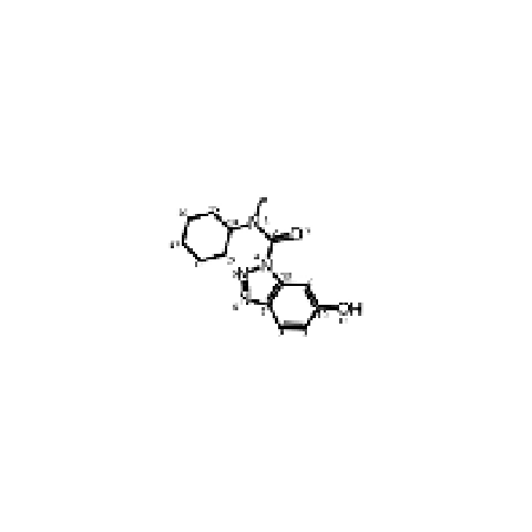 CN(C(=O)n1nnc2ccc(O)cc21)C1CCCCC1